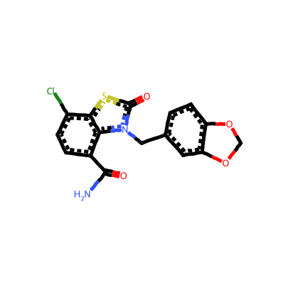 NC(=O)c1ccc(Cl)c2sc(=O)n(Cc3ccc4c(c3)OCO4)c12